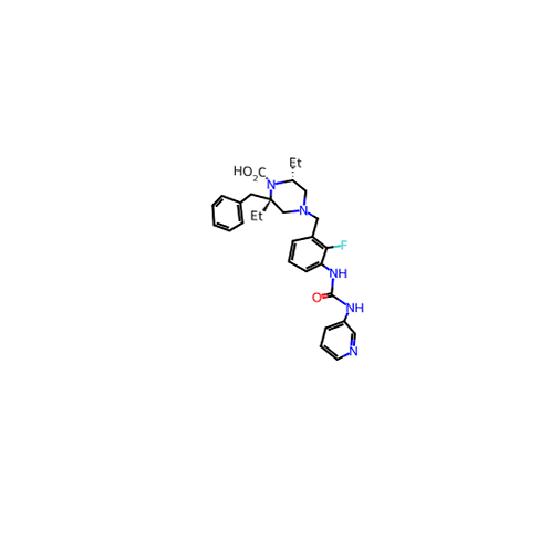 CC[C@@H]1CN(Cc2cccc(NC(=O)Nc3cccnc3)c2F)C[C@](CC)(Cc2ccccc2)N1C(=O)O